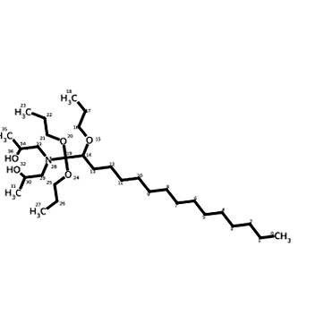 CCCCCCCCCCCCCCC(OCCC)C(OCCC)(OCCC)N(CC(C)O)CC(C)O